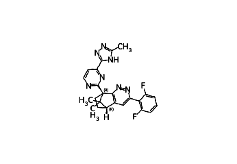 Cc1nnc(-c2ccnc([C@@]34CC[C@@H](c5cc(-c6c(F)cccc6F)nnc53)C4(C)C)n2)[nH]1